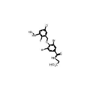 CCCNc1cc(Cl)cc(COc2c(Br)cc(C(=O)NCC(=O)O)cc2Br)c1F